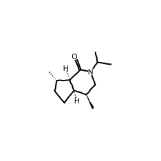 CC(C)N1C[C@@H](C)[C@H]2CC[C@H](C)[C@H]2C1=O